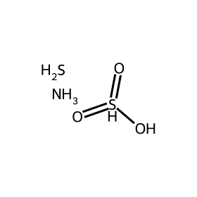 N.O=[SH](=O)O.S